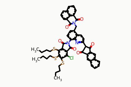 CCCCSc1c(Cl)c2c(c(SCCCC)c1SCCCC)C(=O)N(c1ccc(CN3C(=O)c4cccc5cccc(c45)C3=O)c3ccc(C4C(=O)c5cc6ccccc6cc5C4=O)nc13)C2=O